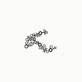 Cc1ncsc1-c1ccc([C@H](C)NC(=O)[C@@H]2C[C@@H](O)CN2C(=O)[C@@H](NC(=O)CO[C@H]2CCCC[C@@H]2N2CCN(CCOc3ccc(C(=O)NC4C(C)(C)C(Oc5ccc(C#N)c(Cl)c5)C4(C)C)cc3)CC2)C(C)(C)C)cc1